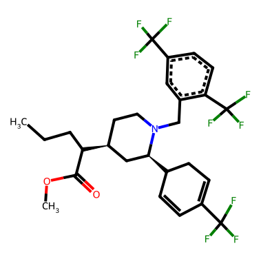 CCCC(C(=O)OC)[C@H]1CCN(Cc2cc(C(F)(F)F)ccc2C(F)(F)F)[C@@H](C2C=CC(C(F)(F)F)=CC2)C1